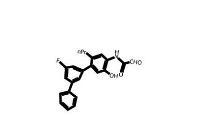 CCCc1cc(NC(=O)C=O)c(O)cc1-c1cc(F)cc(-c2ccccc2)c1